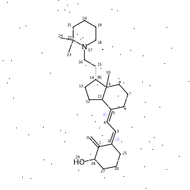 C=C1/C(=C\C=C2/CCCC3(C)C2CC[C@@H]3CCN2CCCCC2(C)C)CCCC1O